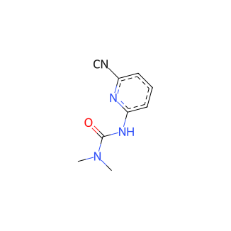 [C-]#[N+]c1cccc(NC(=O)N(C)C)n1